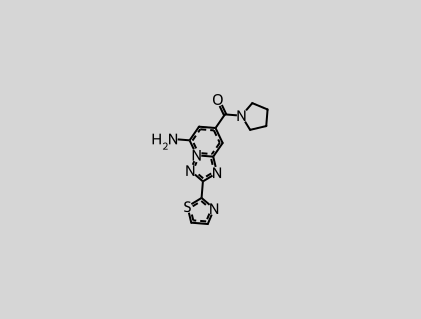 Nc1cc(C(=O)N2CCCC2)cc2nc(-c3nccs3)nn12